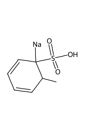 CC1C=CC=C[C]1([Na])S(=O)(=O)O